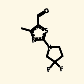 Cc1nc(N2CCC(F)(F)C2)sc1C=O